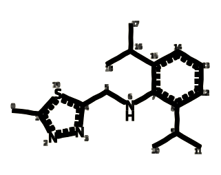 Cc1nnc(CNc2c(C(C)C)cccc2C(C)C)s1